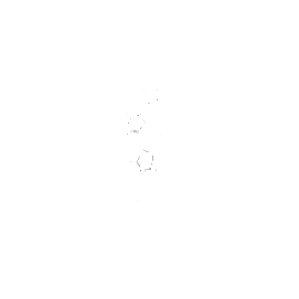 COCc1c(-c2c(F)cccc2Cl)noc1-c1cnn(C2CC(C)(O)C2)c1C